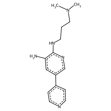 CN(C)CCCNc1ncc(-c2ccncc2)cc1N